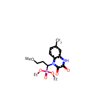 CCOP(=O)(OCC)C(CCOC)n1c(=O)c(=O)[nH]c2cc(C(F)(F)F)ccc21